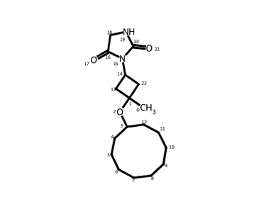 CC1(OC2CCCCCCCCC2)CC(N2C(=O)CNC2=O)C1